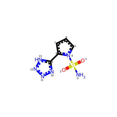 NS(=O)(=O)n1cccc1-c1nnn[nH]1